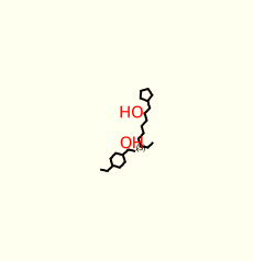 CCC1CCC(C(O)C[C@@H](CC)CCCCC(O)CC2CCCC2)CC1